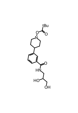 CC(C)(C)C(=O)ON1CCC(c2cccc(C(=O)NCC(O)CO)c2)CC1